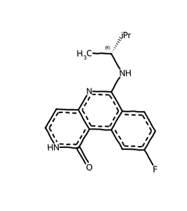 CC(C)[C@@H](C)Nc1nc2cc[nH]c(=O)c2c2cc(F)ccc12